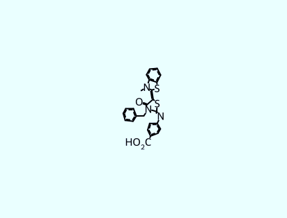 CN1C(=C2SC(=Nc3ccc(C(=O)O)cc3)N(Cc3ccccc3)C2=O)Sc2ccccc21